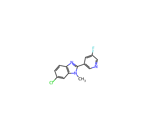 Cn1c(-c2cncc(F)c2)nc2ccc(Cl)cc21